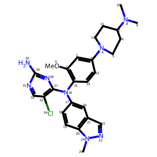 COc1cc(N2CCC(N(C)C)CC2)ccc1N(c1ccc2c(cnn2C)c1)c1nc(N)ncc1Cl